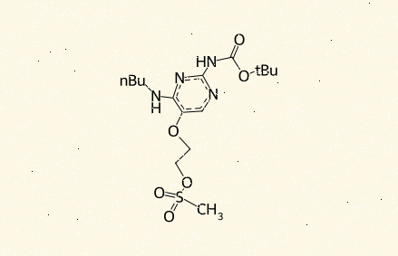 CCCCNc1nc(NC(=O)OC(C)(C)C)ncc1OCCOS(C)(=O)=O